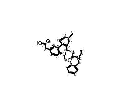 CCN(Cc1ccccc1)C(=O)OCc1cc(C)ccc1-c1cc(CC(=O)O)ccc1OC